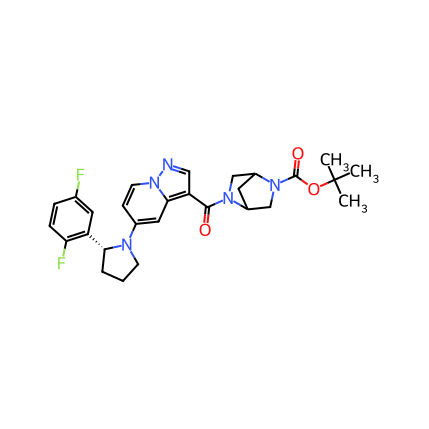 CC(C)(C)OC(=O)N1CC2CC1CN2C(=O)c1cnn2ccc(N3CCC[C@@H]3c3cc(F)ccc3F)cc12